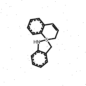 C1=Cc2ccccc2S2(C1)Cc1ccccc1N2